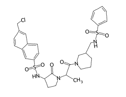 CC(C(=O)N1CCCC(CNS(=O)(=O)c2ccccc2)C1)N1CCC(NS(=O)(=O)c2ccc3cc(CCl)ccc3c2)C1=O